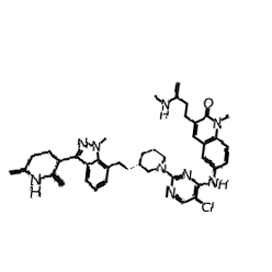 C=C(CCc1cc2cc(Nc3nc(N4CCC[C@@H](CCc5cccc6c(C7CCC(=C)NC7=C)nn(C)c56)C4)ncc3Cl)ccc2n(C)c1=O)NC